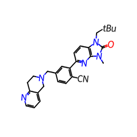 Cn1c(=O)n(CC(C)(C)C)c2ccc(-c3cc(CN4CCc5ncccc5C4)ccc3C#N)nc21